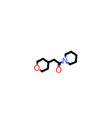 O=C(CC1CCOCC1)N1CCCCC1